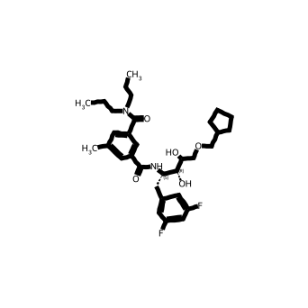 CCCN(CCC)C(=O)c1cc(C)cc(C(=O)N[C@@H](Cc2cc(F)cc(F)c2)[C@@H](O)C(O)COCC2CCCC2)c1